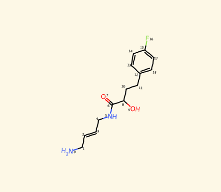 NCC=CCNC(=O)C(O)CCc1ccc(F)cc1